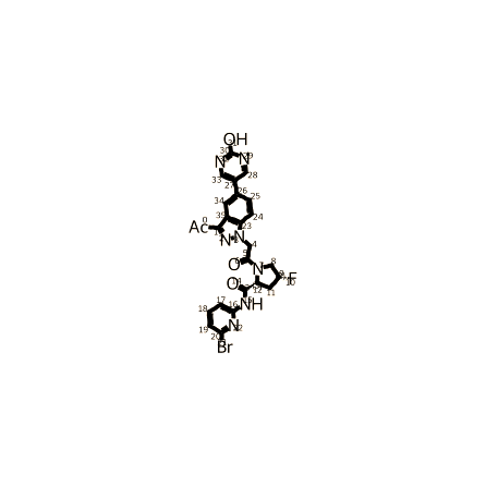 CC(=O)c1nn(CC(=O)N2C[C@H](F)C[C@H]2C(=O)Nc2cccc(Br)n2)c2ccc(-c3cnc(O)nc3)cc12